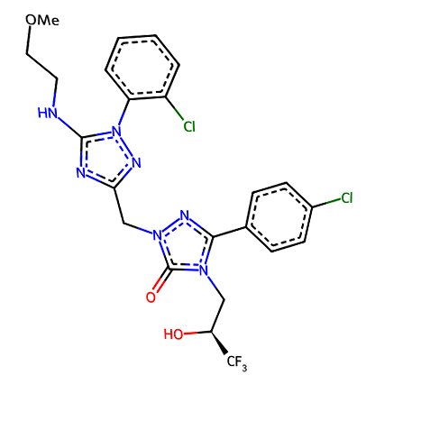 COCCNc1nc(Cn2nc(-c3ccc(Cl)cc3)n(C[C@H](O)C(F)(F)F)c2=O)nn1-c1ccccc1Cl